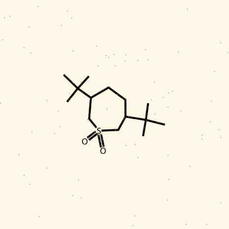 CC(C)(C)C1CCC(C(C)(C)C)CS(=O)(=O)C1